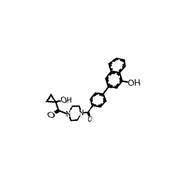 O=C(c1ccc(-c2cc(O)c3ccccc3c2)cc1)N1CCN(C(=O)C2(O)CC2)CC1